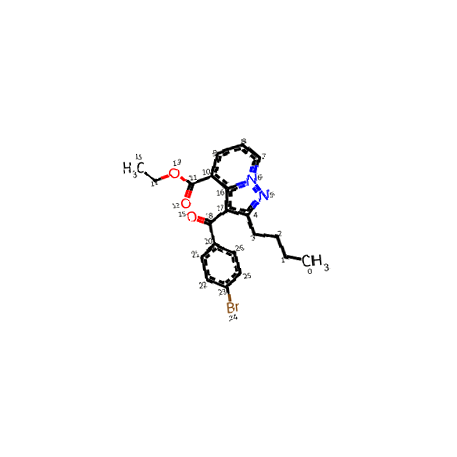 CCCCc1nn2cccc(C(=O)OCC)c2c1C(=O)c1ccc(Br)cc1